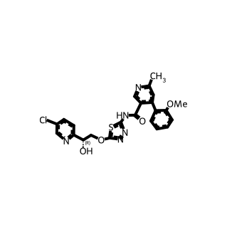 COc1ccccc1-c1cc(C)ncc1C(=O)Nc1nnc(OC[C@H](O)c2ccc(Cl)cn2)s1